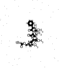 CC(C)(C)C(=O)OCn1nnc(C2N3C(=O)C(N4C(=O)C(c5ccccc5)NC4(C)C)[C@H]3SC2(C)C)n1